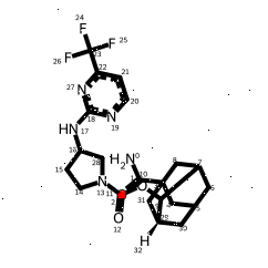 NC(=O)C12CC3CC(C1)C(OC(=O)N1CCC(Nc4nccc(C(F)(F)F)n4)C1)[C@H](C3)C2